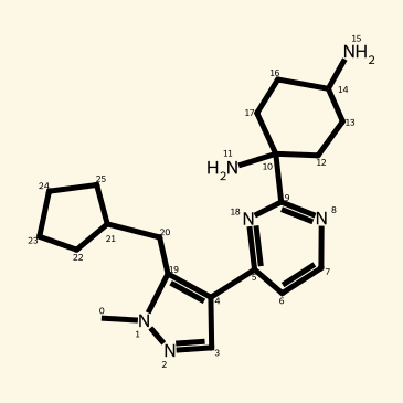 Cn1ncc(-c2ccnc(C3(N)CCC(N)CC3)n2)c1CC1CCCC1